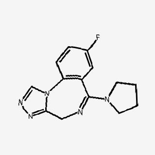 Fc1ccc2c(c1)C(N1CCCC1)=NCc1nncn1-2